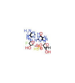 Nc1nc2c(nnn2[C@@H]2O[C@@H]3C(O)C3[C@@H]2OP(=O)(S)OC[C@H]2O[C@@H](n3nnc4c(N)ncnc43)[C@@H](F)[C@@H]2O)c(=O)[nH]1